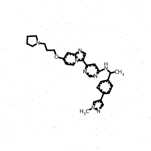 CC(Nc1cc(-c2cnc3cc(OCCCN4CCCC4)ccn23)ncn1)c1ccc(-c2cnn(C)c2)cc1